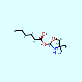 CCCCCC(=O)OC1NC(C)(C)CO1